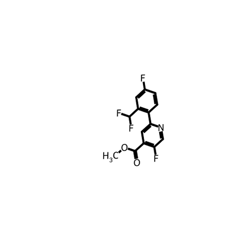 COC(=O)c1cc(-c2ccc(F)cc2C(F)F)ncc1F